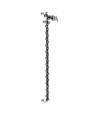 CCC(=O)[C@@H](CCCCNC(=O)CCOCCOCCOCCOCCOCCOCCOCCOCCOCCOCCOCCOCCOCCOCCOCCOCCOCCOCCOCCOCCOCCOCCOCCOC)NC(=O)CCC(C)C